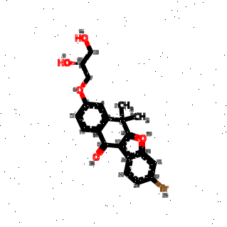 CC1(C)c2cc(OC[C@H](O)CO)ccc2C(=O)c2c1oc1cc(Br)ccc21